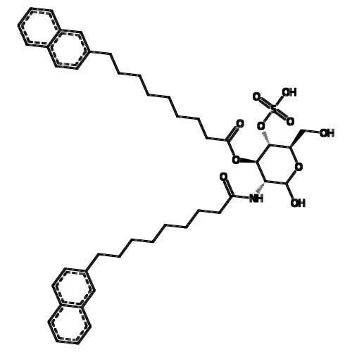 O=C(CCCCCCCCc1ccc2ccccc2c1)N[C@H]1C(O)O[C@H](CO)[C@@H](OS(=O)(=O)O)[C@@H]1OC(=O)CCCCCCCCc1ccc2ccccc2c1